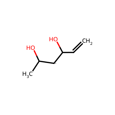 C=CC(O)[CH]C(C)O